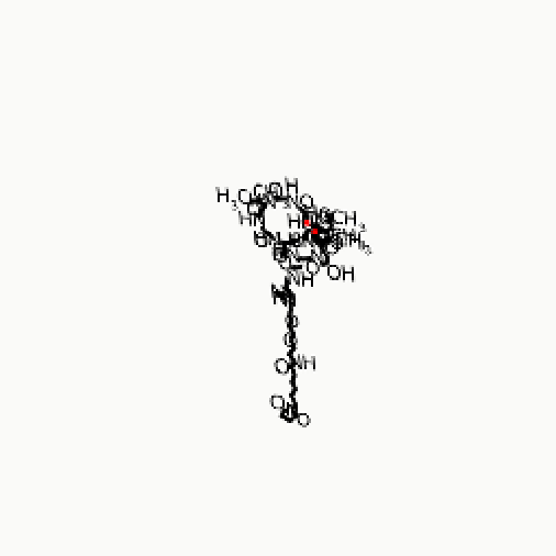 CC[C@H](C)[C@H]1NC(=O)CNC(=O)[C@@H]2Cc3c([nH]c4cc(OC)ccc34)SC[C@H](NC(=O)CNC1=O)C(=O)N[C@@H](CC(=O)NCc1cn(CCOCCOCCNC(=O)CCCCCN3C(=O)C=CC3=O)nn1)C(=O)N1C[C@H](O)CC1C(=O)N[C@@H]([C@@H](C)[C@H](C)O)C(=O)N2